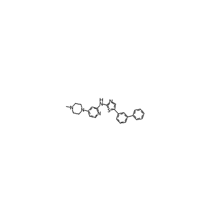 CN1CCN(c2ccnc(Nc3ncc(-c4cccc(-c5ccccc5)c4)s3)c2)CC1